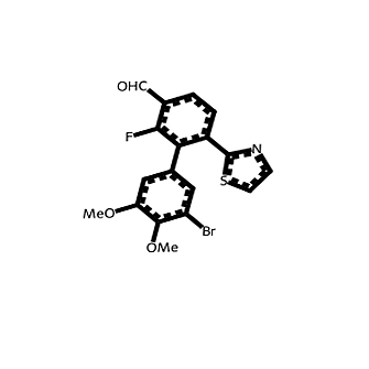 COc1cc(-c2c(-c3nccs3)ccc(C=O)c2F)cc(Br)c1OC